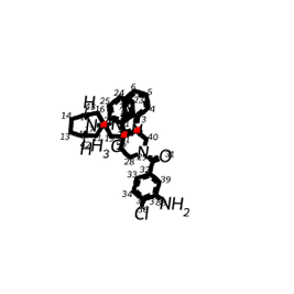 Cc1nc2ccccc2n1[C@H]1C[C@H]2CC[C@@H](C1)N2CCC1(c2ccccc2)CCN(C(=O)c2ccc(Cl)c(N)c2)CC1